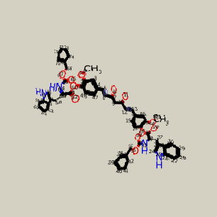 COc1cc(/C=C/C(=O)CC(=O)/C=C/c2ccc(OC(=O)[C@H](Cc3c[nH]c4ccccc34)NC(=O)OCc3ccccc3)c(OC)c2)ccc1OC(=O)[C@H](Cc1c[nH]c2ccccc12)NC(=O)OCc1ccccc1